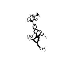 CC#Cc1cc(C)c(C2C(=O)CC3(CCN(C(=O)C(=O)NC4CC4)CC3)CC2O)c(C)c1